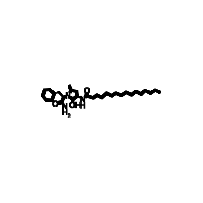 CCCCCCCCCCCCCCCC(=O)N[C@H]1CC(C)N([C@H](C[C@H]2CC=CCC2)C(N)=O)C1O